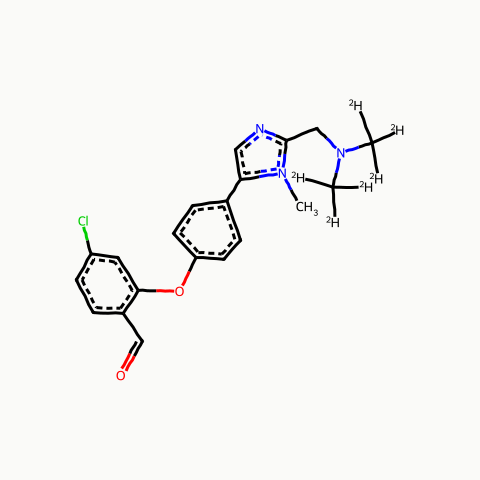 [2H]C([2H])([2H])N(Cc1ncc(-c2ccc(Oc3cc(Cl)ccc3C=O)cc2)n1C)C([2H])([2H])[2H]